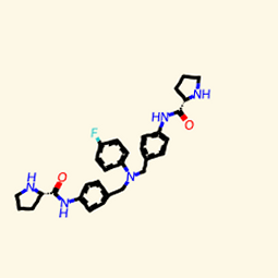 O=C(Nc1ccc(CN(Cc2ccc(NC(=O)[C@@H]3CCCN3)cc2)c2ccc(F)cc2)cc1)[C@@H]1CCCN1